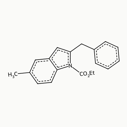 CCOC(=O)n1c(Cc2ccccc2)cc2cc(C)ccc21